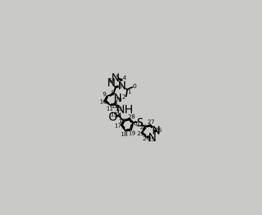 CC(C)n1cnnc1-c1cccc(NC(=O)c2cccc(Sc3ccnnc3)c2)n1